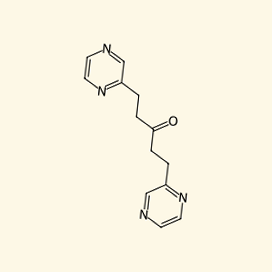 O=C(CCc1cnccn1)CCc1cnccn1